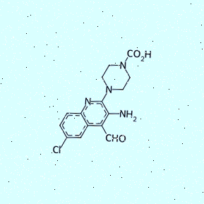 Nc1c(N2CCN(C(=O)O)CC2)nc2ccc(Cl)cc2c1C=O